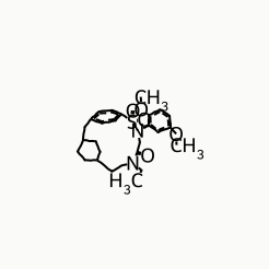 CCN1CCC2CCC(CC2)Cc2ccc(cc2)S(=O)(=O)N(c2cc(OC)ccc2OC)CC1=O